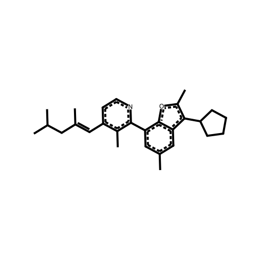 C/C(=C\c1ccnc(-c2cc(C)cc3c(C4CCCC4)c(C)oc23)c1C)CC(C)C